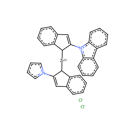 C1=C(n2cccc2)[CH]([Zr+2][CH]2C(n3c4ccccc4c4ccccc43)=Cc3ccccc32)c2ccccc21.[Cl-].[Cl-]